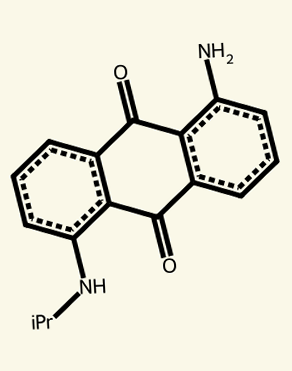 CC(C)Nc1cccc2c1C(=O)c1cccc(N)c1C2=O